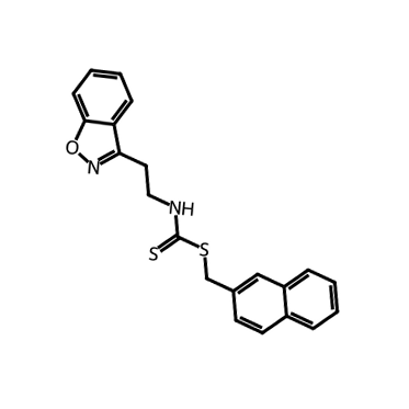 S=C(NCCc1noc2ccccc12)SCc1ccc2ccccc2c1